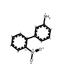 Nc1cccc(-c2ccccc2[N+](=O)[O-])c1